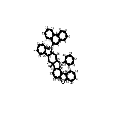 CC12Cc3c(n(-c4cc5ccccc5c5ccccc45)c4ccccc34)C=C1N(c1ccccc1)c1c2ccc2oc3ccccc3c12